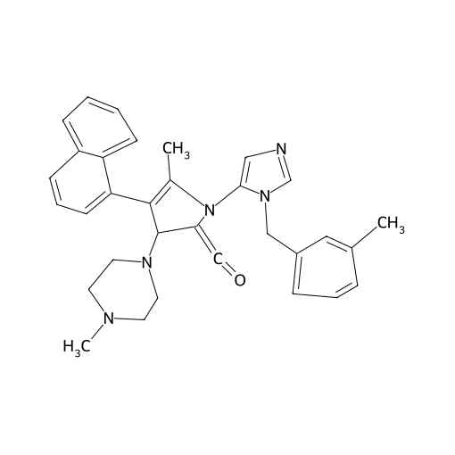 CC1=C(c2cccc3ccccc23)C(N2CCN(C)CC2)C(=C=O)N1c1cncn1Cc1cccc(C)c1